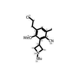 COc1c(CCCl)cc(C)c(C#N)c1C1CN(C(C)(C)C)C1